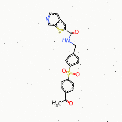 CC(=O)c1ccc(S(=O)(=O)c2ccc(CNC(=O)c3cc4ccncc4s3)cc2)cc1